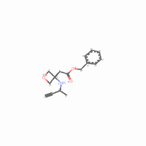 C#CC(C)NC1(CC(=O)OCc2ccccc2)COC1